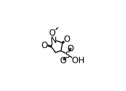 CON1C(=O)CC(S(=O)(=O)O)C1=O